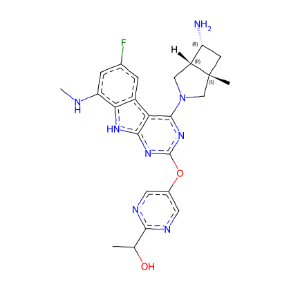 CNc1cc(F)cc2c1[nH]c1nc(Oc3cnc(C(C)O)nc3)nc(N3C[C@@H]4[C@H](N)C[C@]4(C)C3)c12